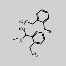 CC(C)(C)C(C(=O)O)c1ccccc1CN.O=C(O)Cc1ccccc1CBr